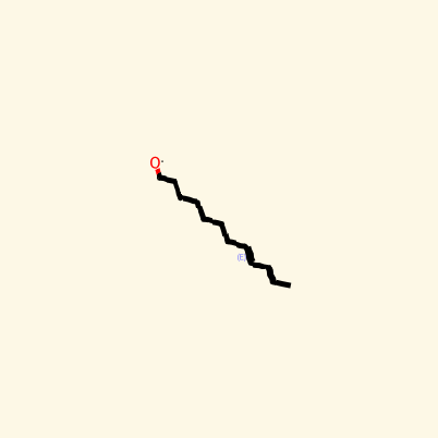 CCC/C=C/CCCCCCC[O]